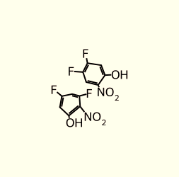 O=[N+]([O-])c1c(O)cc(F)cc1F.O=[N+]([O-])c1cc(F)c(F)cc1O